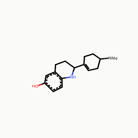 CNC1CC=C(C2CCc3cc(O)ccc3N2)CC1